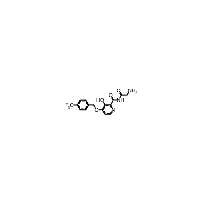 NCC(=O)NC(=O)c1nccc(OCc2ccc(C(F)(F)F)cc2)c1O